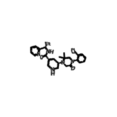 CC[C@@H](NC(=O)[C@@H]1CNC[C@H](N2CC(=O)N(c3ccccc3Cl)CC2(C)C)C1)c1ccccn1